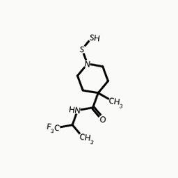 CC(NC(=O)C1(C)CCN(SS)CC1)C(F)(F)F